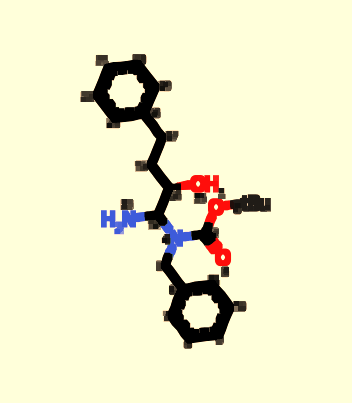 CC(C)(C)OC(=O)N(Cc1ccccc1)C(N)[C@H](O)CCc1ccccc1